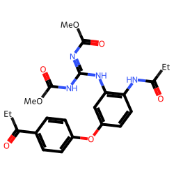 CCC(=O)Nc1ccc(Oc2ccc(C(=O)CC)cc2)cc1NC(=NC(=O)OC)NC(=O)OC